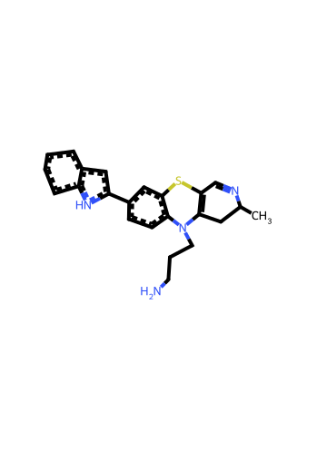 CC1CC2=C(C=N1)Sc1cc(-c3cc4ccccc4[nH]3)ccc1N2CCCN